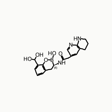 O=C(Cc1cnc2c(c1)CCCN2)N[C@H]1Cc2cccc(C(O)O)c2OB1O